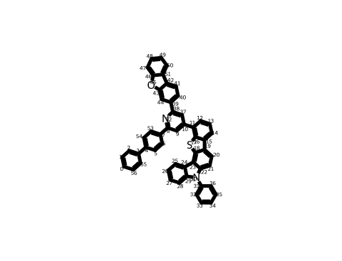 c1ccc(-c2ccc(-c3cc(-c4cccc5c4sc4c5ccc5c4c4ccccc4n5-c4ccccc4)cc(-c4ccc5c(c4)oc4ccccc45)n3)cc2)cc1